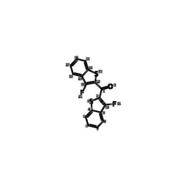 O=C(c1sc2ccccc2c1F)c1sc2ccccc2c1F